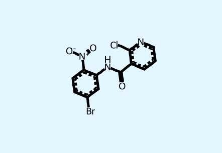 O=C(Nc1cc(Br)ccc1[N+](=O)[O-])c1cccnc1Cl